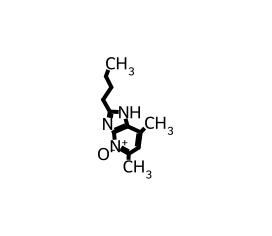 CCCCc1nc2c([nH]1)c(C)cc(C)[n+]2[O-]